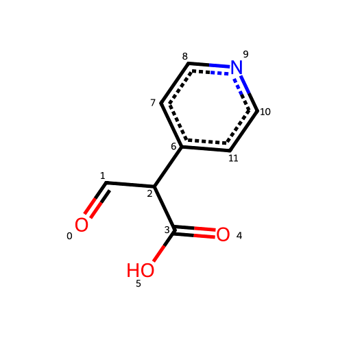 O=CC(C(=O)O)c1ccncc1